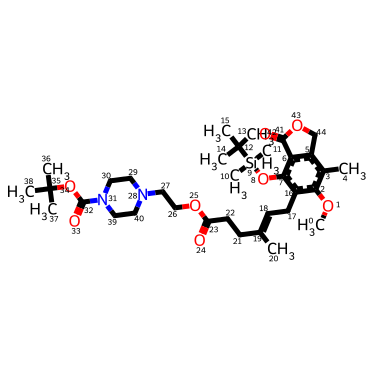 COc1c(C)c2c(c(O[Si](C)(C)C(C)(C)C)c1C/C=C(\C)CCC(=O)OCCN1CCN(C(=O)OC(C)(C)C)CC1)C(=O)OC2